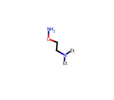 CCN(CC)CCON